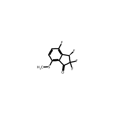 CSc1ccc(F)c2c1C(=O)C(F)(F)[C@@H]2F